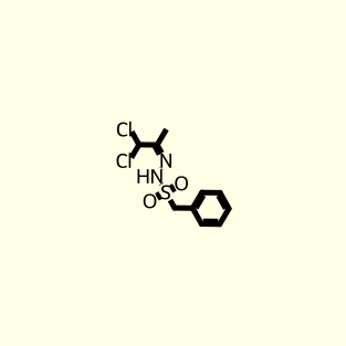 CC(=NNS(=O)(=O)Cc1ccccc1)C(Cl)Cl